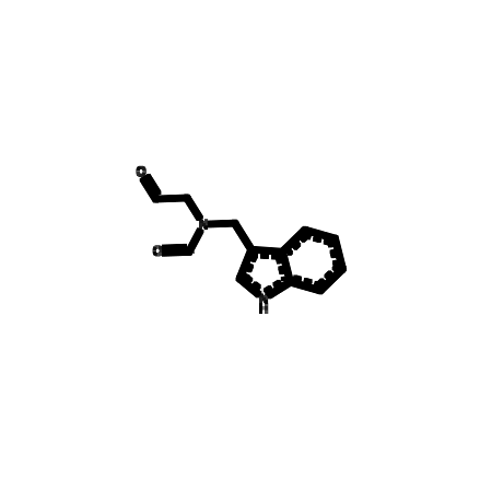 O=[C]N(CC=O)Cc1c[nH]c2ccccc12